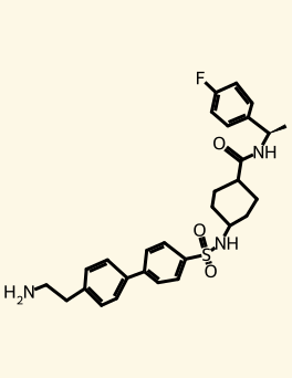 C[C@@H](NC(=O)C1CCC(NS(=O)(=O)c2ccc(-c3ccc(CCN)cc3)cc2)CC1)c1ccc(F)cc1